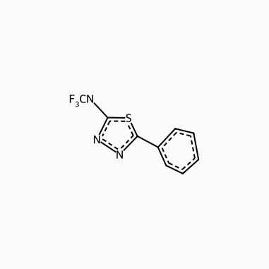 FC(F)(F)Nc1nnc(-c2ccccc2)s1